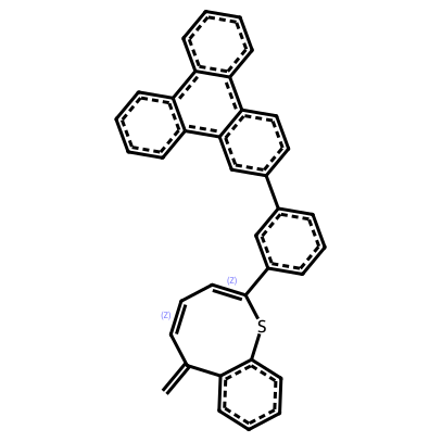 C=C1/C=C\C=C(\c2cccc(-c3ccc4c5ccccc5c5ccccc5c4c3)c2)Sc2ccccc21